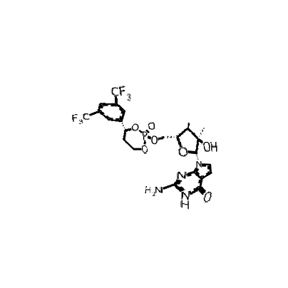 C[C@@H]1[C@@H](COP2(=O)OCC[C@H](c3cc(C(F)(F)F)cc(C(F)(F)F)c3)O2)O[C@@H](n2ccc3c(=O)[nH]c(N)nc32)[C@]1(C)O